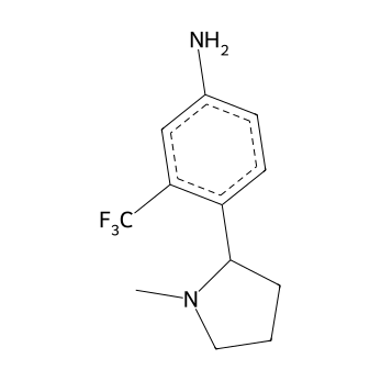 CN1CCCC1c1ccc(N)cc1C(F)(F)F